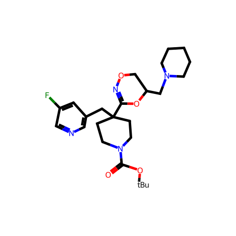 CC(C)(C)OC(=O)N1CCC(Cc2cncc(F)c2)(C2=NOCC(CN3CCCCC3)O2)CC1